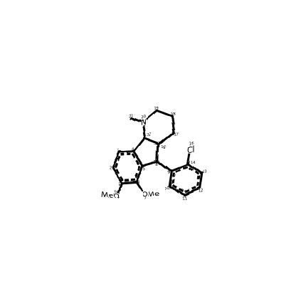 COc1ccc2c(c1OC)C(c1ccccc1Cl)C1CCCN(C)C21